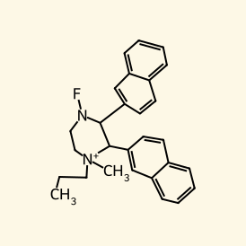 CCC[N+]1(C)CCN(F)C(c2ccc3ccccc3c2)C1c1ccc2ccccc2c1